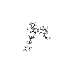 COC(=O)c1cc2c(cc1C(F)(F)F)O[C@@](C)(c1ccccc1)C(=O)N2CCNC(=O)OCc1ccccc1